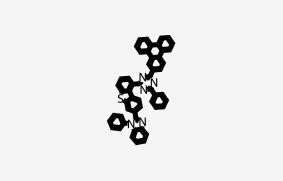 c1ccc(-c2nc(-c3ccc4c5ccccc5c5ccccc5c4c3)nc(-c3cccc4sc5cc(-c6nc7ccccc7n6-c6ccccc6)ccc5c34)n2)cc1